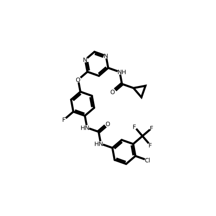 O=C(Nc1ccc(Cl)c(C(F)(F)F)c1)Nc1ccc(Oc2cc(NC(=O)C3CC3)ncn2)cc1F